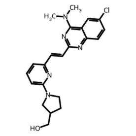 CN(C)c1nc(/C=C/c2cccc(N3CCC(CO)C3)n2)nc2ccc(Cl)cc12